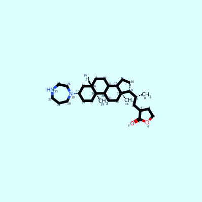 C[C@H](CC1CCOC1=O)[C@H]1CCC2C3CC[C@H]4C[C@@H](N5CCCNCC5)CC[C@]4(C)C3CC[C@@]21C